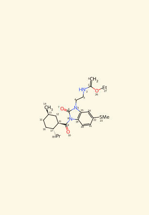 C=C(NCCn1c(=O)n(C(=O)[C@@H]2C[C@H](C)CC[C@H]2C(C)C)c2ccc(SC)cc21)OCC